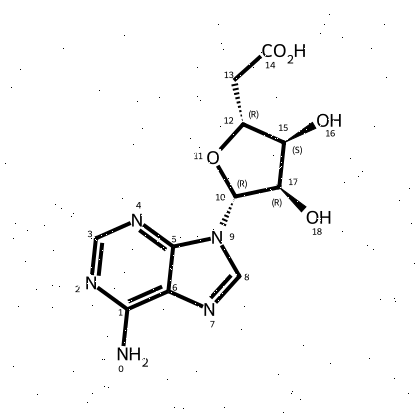 Nc1ncnc2c1ncn2[C@@H]1O[C@H](CC(=O)O)[C@@H](O)[C@H]1O